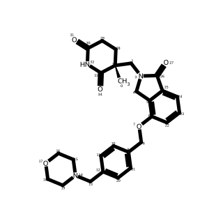 C[C@]1(CN2Cc3c(OCc4ccc(CN5CCOCC5)cc4)cccc3C2=O)CCC(=O)NC1=O